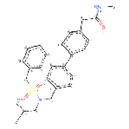 CNC(=O)Cc1ccc(-c2ccc(CN(CC(C)C)S(=O)(=O)Cc3ccccc3)cc2)cc1